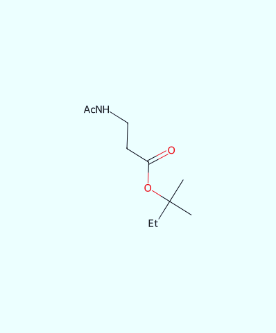 CCC(C)(C)OC(=O)CCNC(C)=O